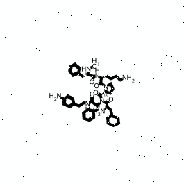 CN[C@@H](Cc1ccccc1)C(=O)N[C@@H](CCCCN)C(=O)N1CCC[C@H]1C(=O)N(C(=O)[C@H](N)CC1CCCCC1)[C@@H](Cc1ccccc1)C(=O)NCCc1ccc(N)cc1